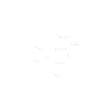 c1ccc(OC2CCCCC2)c(Nc2ncnc3sccc23)c1